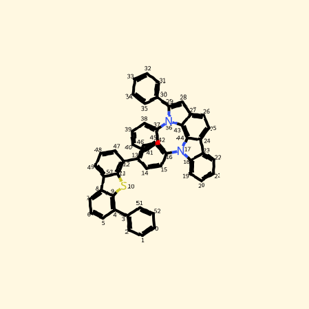 c1ccc(-c2cccc3c2sc2c(-c4ccc(-n5c6ccccc6c6ccc7cc(-c8ccccc8)n(-c8ccccc8)c7c65)cc4)cccc23)cc1